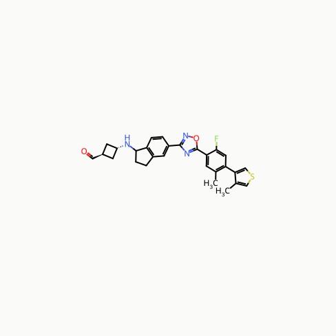 Cc1cscc1-c1cc(F)c(-c2nc(-c3ccc4c(c3)CCC4N[C@H]3C[C@H](C=O)C3)no2)cc1C